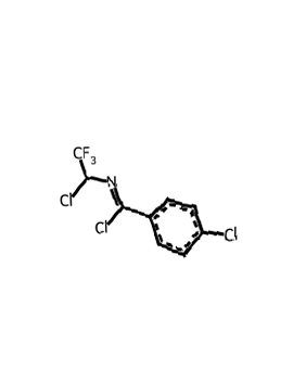 FC(F)(F)C(Cl)N=C(Cl)c1ccc(Cl)cc1